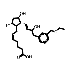 CCOCc1cccc(CC(O)/C=C/[C@@H]2[C@@H](C/C=C\CCCC(=O)O)[C@H](F)C[C@H]2O)c1